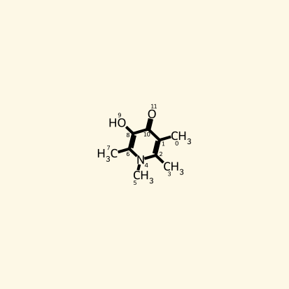 Cc1c(C)n(C)c(C)c(O)c1=O